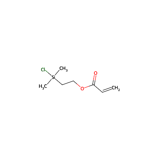 C=CC(=O)OCC[Si](C)(C)Cl